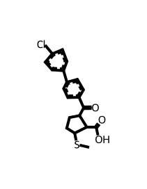 CSC1CCC(C(=O)c2ccc(-c3ccc(Cl)cc3)cc2)C1C(=O)O